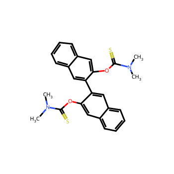 CN(C)C(=S)Oc1cc2ccccc2cc1-c1cc2ccccc2cc1OC(=S)N(C)C